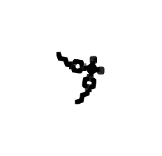 CCCCN1CCN(c2c(N3CCN(CCCC)CC3)c(=O)c2=O)CC1